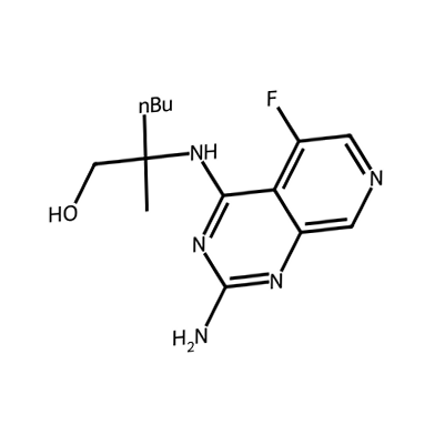 CCCCC(C)(CO)Nc1nc(N)nc2cncc(F)c12